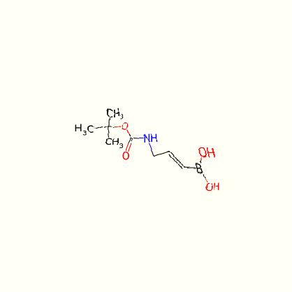 CC(C)(C)OC(=O)NC/C=C/B(O)O